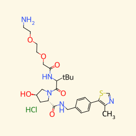 Cc1ncsc1-c1ccc(CNC(=O)[C@@H]2C[C@@H](O)CN2C(=O)C(NC(=O)COCCOCCN)C(C)(C)C)cc1.Cl